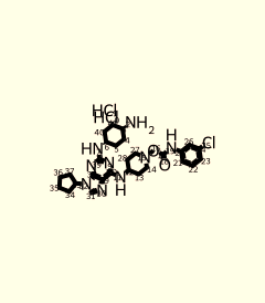 Cl.Cl.N[C@H]1CC[C@H](Nc2nc(NC3CCN(OC(=O)Nc4cccc(Cl)c4)CC3)c3ncn(C4CCCC4)c3n2)CC1